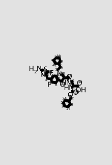 Nc1nc(Cc2c(F)cc3c(=O)c(C(=O)NCC(NC(=O)OCc4ccccc4)C(=O)O)cn(CCc4ccccc4)c3c2F)cs1